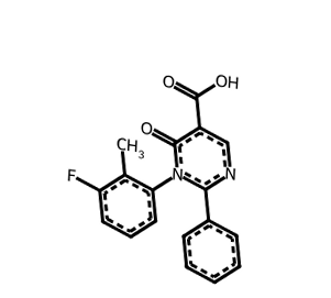 Cc1c(F)cccc1-n1c(-c2ccccc2)ncc(C(=O)O)c1=O